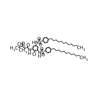 CCCCCCCCCCCCc1ccc(S(=O)(=O)Nc2cc(NC(=O)CC(=O)C(C)(C)C)c(Cl)c(NS(=O)(=O)c3ccc(CCCCCCCCCCCC)cc3)c2)cc1